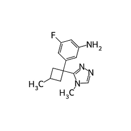 CC1CC(c2cc(N)cc(F)c2)(c2nncn2C)C1